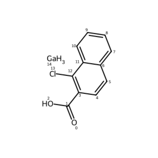 O=C(O)c1ccc2ccccc2c1Cl.[GaH3]